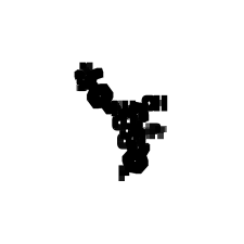 Cc1ncsc1-c1ccc(CNC(=O)[C@@H]2C[C@@H](O)CN2C(=O)[C@H](C(C)C)N2Cc3ccc(F)cc3C2=O)cc1